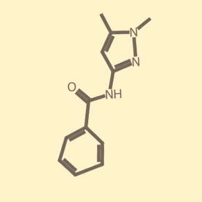 Cc1cc(NC(=O)c2ccccc2)nn1C